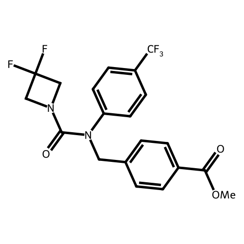 COC(=O)c1ccc(CN(C(=O)N2CC(F)(F)C2)c2ccc(C(F)(F)F)cc2)cc1